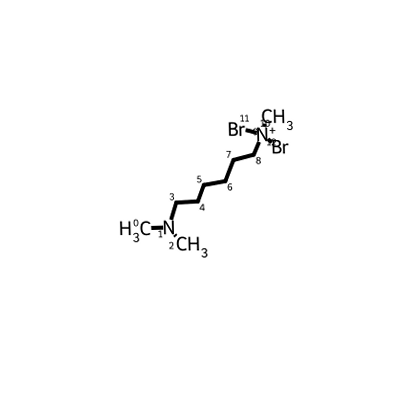 CN(C)CCCCCC[N+](C)(Br)Br